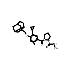 O=C(NO)[C@@H]1CCCN1C(=O)c1cc(C2CC2)c(OCC23CC4CC(CC(C4)C2)C3)cc1F